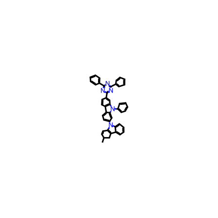 CC1C=Cc2c(c3ccccc3n2-c2ccc3c4ccc(-c5nc(-c6ccccc6)nc(-c6ccccc6)n5)cc4n(-c4ccccc4)c3c2)C1